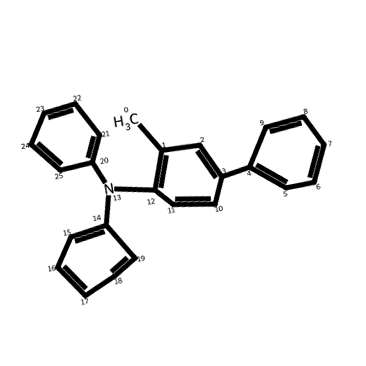 Cc1cc(-c2ccccc2)ccc1N(c1ccccc1)c1ccccc1